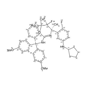 COc1ccc(C(NC2=N[C@](C)(c3cc(NC4CCCC4)ccc3F)C(F)(F)C(C)(C)O2)(c2ccccc2)c2ccc(OC)cc2)cc1